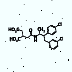 CC(NC(=O)CC(CC(=O)O)C(=O)O)C(Cc1cccc(Cl)c1)c1ccc(Cl)cc1